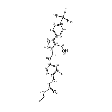 CCOC(=O)COc1ccc(OCc2noc(-c3ccc(C(F)(F)F)cc3)c2CO)cc1C